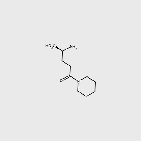 N[C@@H](CCC(=O)N1CCCCC1)C(=O)O